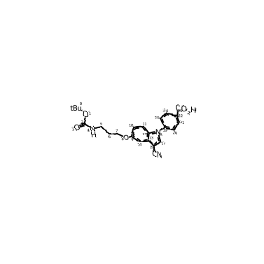 CC(C)(C)OC(=O)NCCCOc1ccc2c(c1)c(C#N)cn2-c1ccc(C(=O)O)cc1